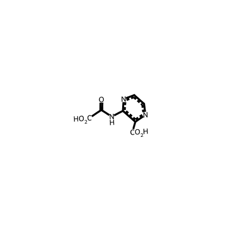 O=C(O)C(=O)Nc1nccnc1C(=O)O